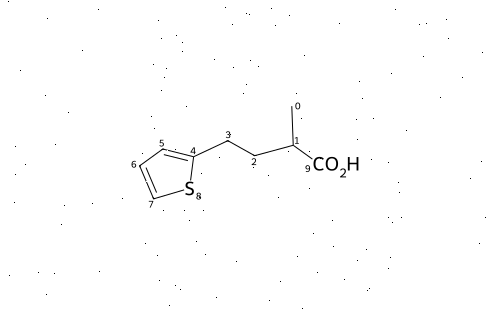 CC(CCc1cccs1)C(=O)O